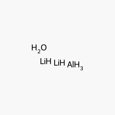 O.[AlH3].[LiH].[LiH]